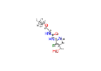 CC(C)(C)[Si](C)(C)OCCNC(=O)Nc1nccc(CO)c1F